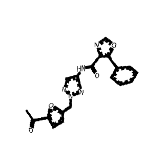 CC(=O)c1ccc(Cn2ncc(NC(=O)c3ncoc3-c3ccccc3)n2)o1